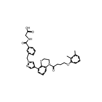 Cc1cccc(OCCCC(=O)N2CCSc3c(-c4cnn(Cc5cccc(C(=O)NCC(=O)O)c5)c4)cccc32)c1C